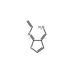 C=C/N=C1/SC=C/C1=C/N